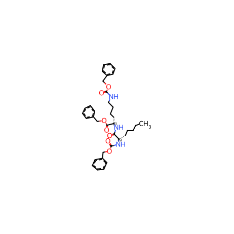 CCCCC[C@H](NC(=O)OCc1ccccc1)C(=O)N[C@@H](CCCCNC(=O)OCc1ccccc1)C(=O)OCc1ccccc1